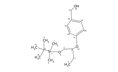 CCC(CO[Si](C)(C)C(C)(C)C)Oc1ccc(CO)cc1